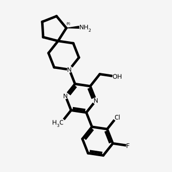 Cc1nc(N2CCC3(CCC[C@H]3N)CC2)c(CO)nc1-c1cccc(F)c1Cl